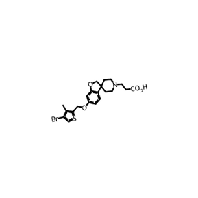 Cc1c(Br)csc1COc1ccc2c(c1)OCC21CCN(CCC(=O)O)CC1